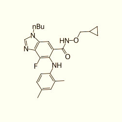 CCCCn1cnc2c(F)c(Nc3ccc(C)cc3C)c(C(=O)NOCC3CC3)cc21